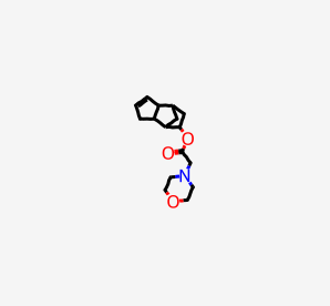 O=C(CN1CCOCC1)OC1CC2CC1C1CC=CC21